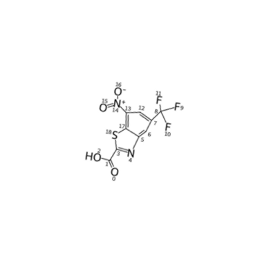 O=C(O)c1nc2cc(C(F)(F)F)cc([N+](=O)[O-])c2s1